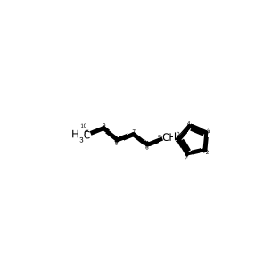 C1=CCC=C1.CCCCCC